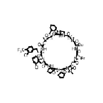 CC[C@H](C)[C@@H]1NC(=O)[C@H](CC(C)C)N(C)C(=O)C[C@@H](C(=O)N(C)C)N(C)C(=O)[C@H](C2CCCC2)N(C)C(=O)C2(CCCC2)NC(=O)[C@H](Cc2ccccc2Cl)N(C)C(=O)[C@H](CCc2ccc(C(F)(F)F)c(Cl)c2)NC(=O)CN(C)C(=O)[C@H](CC2CCCCC2)N(C)C(=O)[C@@H]2CCN2C(=O)[C@H](C)N(C)C1=O